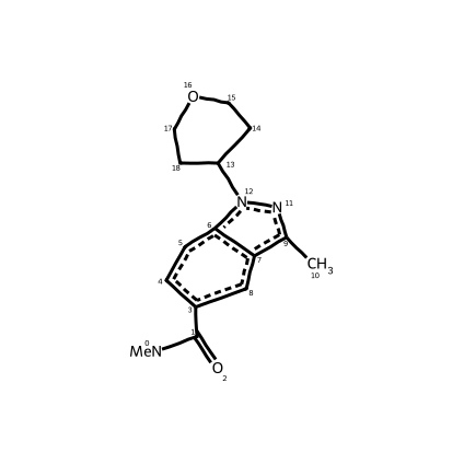 CNC(=O)c1ccc2c(c1)c(C)nn2C1CCOCC1